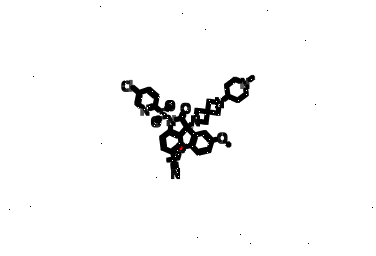 CCOc1ccc(OC)cc1[C@@]1(N2CC3(CN(C4CCN(C)CC4)C3)C2)C(=O)N(S(=O)(=O)c2ccc(Cl)cn2)c2ccc(C#N)cc21